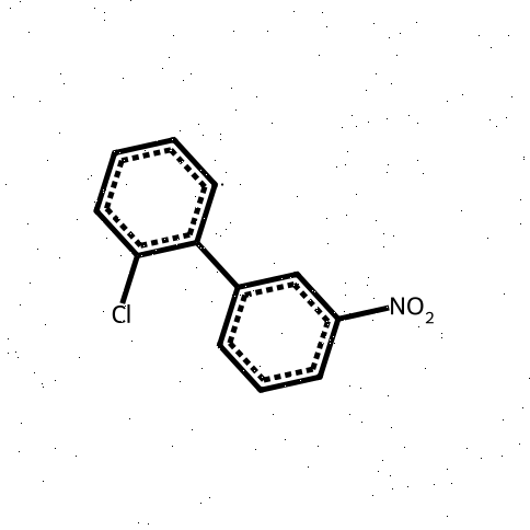 O=[N+]([O-])c1cccc(-c2[c]cccc2Cl)c1